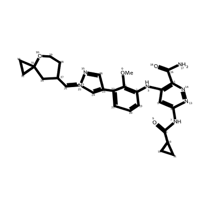 COc1c(Nc2cc(NC(=O)C3CC3)nnc2C(N)=O)cccc1C1=C/[N+](=C/C2CCOC3(CC3)C2)N=C1